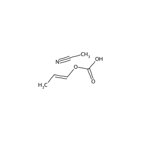 CC#N.CC=COC(=O)O